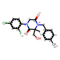 CC1(CO)C(=O)N(c2ccc(Cl)cc2F)CC(=O)N1Cc1ccc(C(F)(F)F)cc1